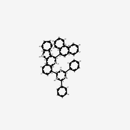 c1ccc(-c2nc(-c3ccccc3)nc(-c3cccc4c3nc(-c3cc5ccccc5c5ccccc35)c3c5ccccc5oc43)n2)cc1